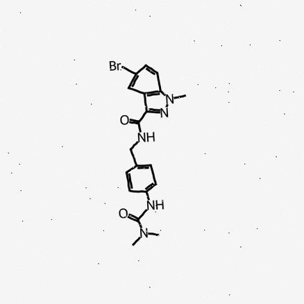 CN(C)C(=O)Nc1ccc(CNC(=O)c2nn(C)c3ccc(Br)cc23)cc1